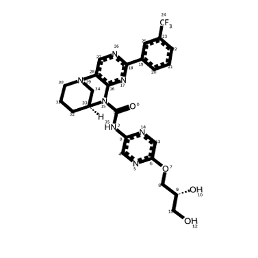 O=C(Nc1cnc(OC[C@H](O)CO)cn1)N1c2nc(-c3cccc(C(F)(F)F)c3)ncc2N2CCC[C@H]1C2